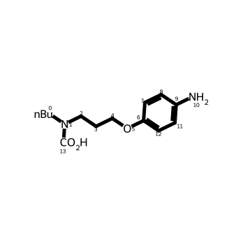 CCCCN(CCCOc1ccc(N)cc1)C(=O)O